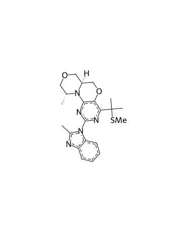 CSC(C)(C)c1nc(-n2c(C)nc3ccccc32)nc2c1OC[C@@H]1COC[C@@H](C)N21